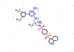 Cc1cc(C)cc(-c2cc(NCC(C)(C)CNS(=O)(=O)c3ccc(S(=O)(=O)c4ccnc5ccccc45)cc3)nc(N)n2)c1